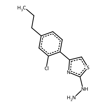 CCCc1ccc(-c2csc(NN)n2)c(Cl)c1